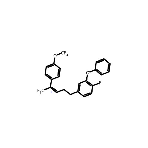 Fc1ccc(CC/C=C(\c2ccc(OC(F)(F)F)cc2)C(F)(F)F)cc1Oc1ccccc1